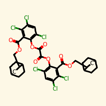 O=C(Oc1c(Cl)cc(Cl)c(Cl)c1C(=O)OCC1CC2CCC1CC2)C(=O)Oc1c(Cl)cc(Cl)c(Cl)c1C(=O)OCC1CC2CCC1CC2